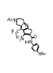 CC(=O)N1CCc2nc3sc(C(=O)Nc4ccc(C(C)(C)C)cc4)c(N)c3c(C(F)(F)F)c2C1